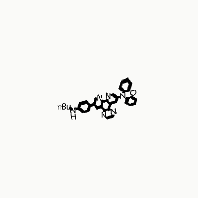 CCCCNc1ccc(-c2cnc3c(c2)c2nccnc2c2cc(N4c5ccccc5Oc5ccccc54)cnc23)cc1